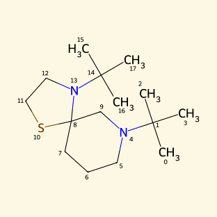 CC(C)(C)N1CCCC2(C1)SCCN2C(C)(C)C